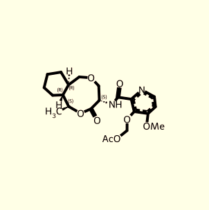 COc1ccnc(C(=O)N[C@H]2COC[C@@H]3CCCC[C@H]3[C@H](C)OC2=O)c1OCOC(C)=O